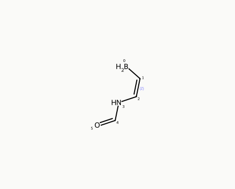 B/C=C\NC=O